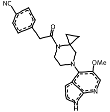 COc1cnc2[nH]ccc2c1N1CCN(C(=O)Cc2ccc(C#N)cc2)C2(CC2)C1